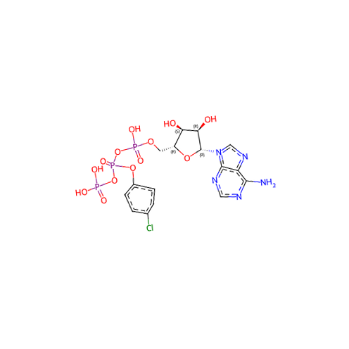 Nc1ncnc2c1ncn2[C@@H]1O[C@H](COP(=O)(O)OP(=O)(Oc2ccc(Cl)cc2)OP(=O)(O)O)[C@@H](O)[C@H]1O